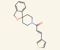 O=C(/C=C/c1ccsc1)N1CCC2(CC1)OCc1ccccc12